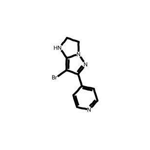 Brc1c(-c2ccncc2)nn2c1NCC2